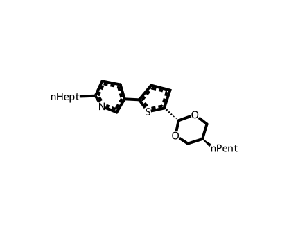 CCCCCCCc1ccc(-c2ccc([C@H]3OC[C@H](CCCCC)CO3)s2)cn1